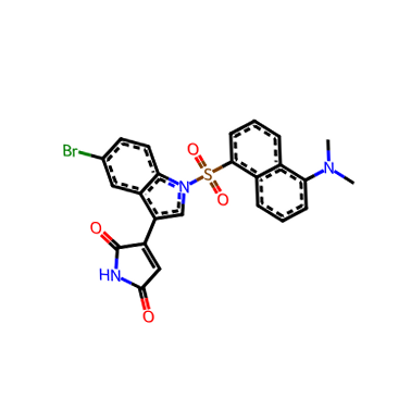 CN(C)c1cccc2c(S(=O)(=O)n3cc(C4=CC(=O)NC4=O)c4cc(Br)ccc43)cccc12